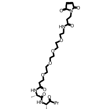 CC(C)C(=O)[C@H](C)NC(=O)[C@H](C)NC(=O)CCOCCOCCOCCOCCNC(=O)CCN1C(=O)C=CC1=O